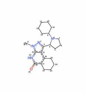 CC(C)n1nc(C2CCCN2C2CCCCC2)c2c3c(c(=O)[nH]c21)CCCC3